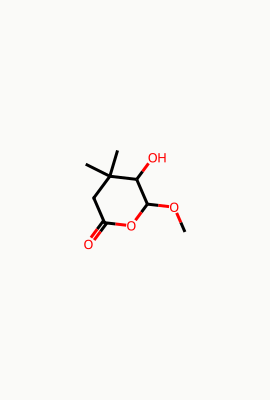 COC1OC(=O)CC(C)(C)C1O